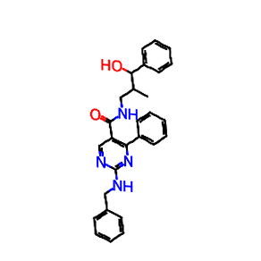 CC(CNC(=O)c1cnc(NCc2ccccc2)nc1-c1ccccc1)C(O)c1ccccc1